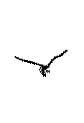 CCCCCCCCCCCCCCCCCCCCCC(=O)OCC(COP(=O)(O)OCC[N+](C)(C)C)OC(=O)CCCCCCCCCCCCCCCCCCCCC